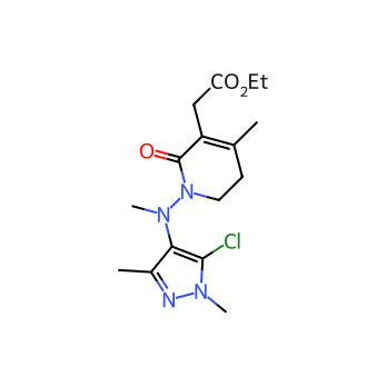 CCOC(=O)CC1=C(C)CCN(N(C)c2c(C)nn(C)c2Cl)C1=O